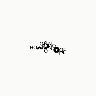 Cn1c(Oc2cccc(OC(C)(F)F)c2)nc2c1c(=O)n(CCCO)c(=O)n2C